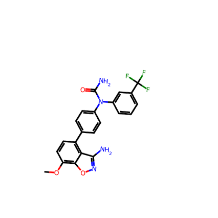 COc1ccc(-c2ccc(N(C(N)=O)c3cccc(C(F)(F)F)c3)cc2)c2c(N)noc12